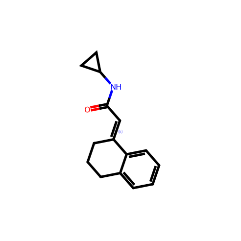 O=C(/C=C1\CCCc2ccccc21)NC1CC1